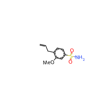 C=CCc1ccc(S(N)(=O)=O)cc1OC